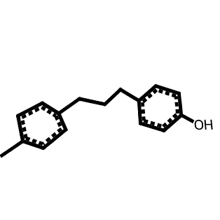 Cc1ccc(CCCc2ccc(O)cc2)cc1